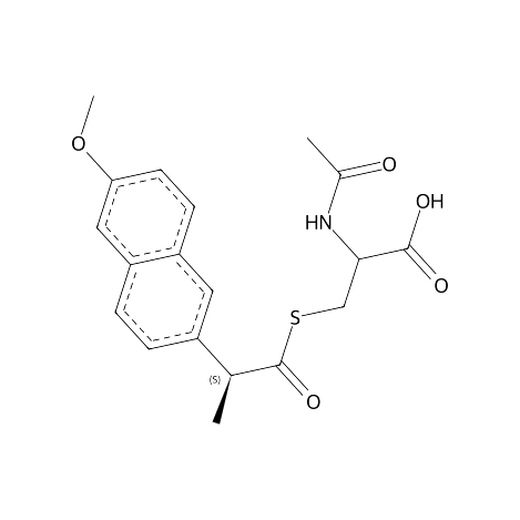 COc1ccc2cc([C@H](C)C(=O)SCC(NC(C)=O)C(=O)O)ccc2c1